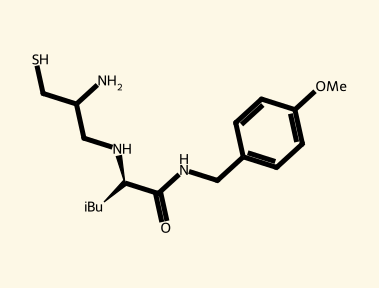 CC[C@H](C)[C@@H](NCC(N)CS)C(=O)NCc1ccc(OC)cc1